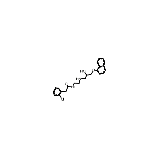 O=C(Cc1ccccc1Cl)NCCNCC(O)COc1cccc2ccccc12